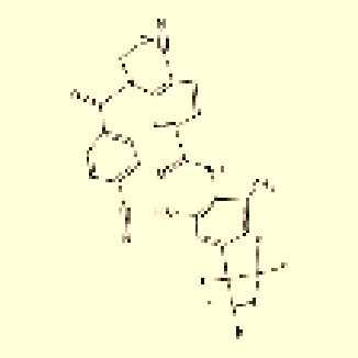 CCN(C(=O)c1ccc(C#N)cc1)c1cc(C(=O)Nc2c(C)cc(C(F)(C(F)(F)F)C(F)(F)F)cc2C)ccc1C#N